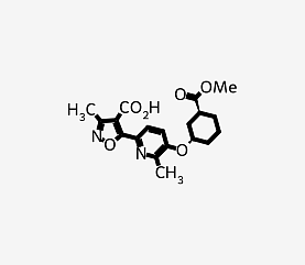 COC(=O)[C@H]1CCC[C@H](Oc2ccc(-c3onc(C)c3C(=O)O)nc2C)C1